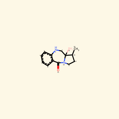 BC12CNc3ccccc3C(=O)N1CCC2C